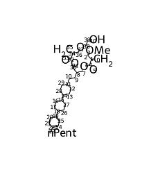 C=C(COC)C(=O)OCC(CCC1CCC(C2CCC(c3ccc(CCCCC)cc3)CC2)CC1)COC(=O)C(=C)COCCO